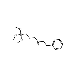 CO[Si](CCCNCCc1ccccc1)(OC)OC